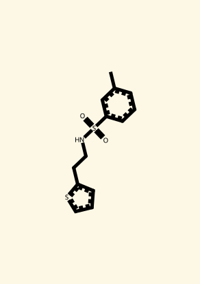 Cc1cccc(S(=O)(=O)NCCc2cccs2)c1